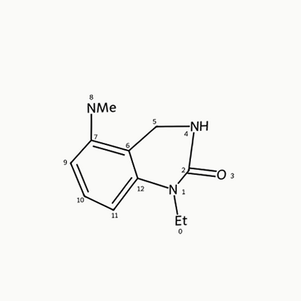 CCN1C(=O)NCc2c(NC)cccc21